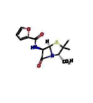 CC1(C)S[C@@H]2[C@H](NC(=O)c3ccco3)C(=O)N2[C@H]1C(=O)O